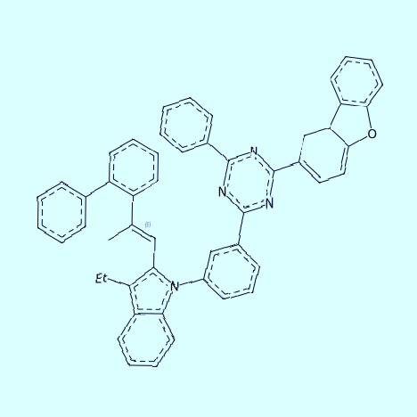 CCc1c(/C=C(\C)c2ccccc2-c2ccccc2)n(-c2cccc(-c3nc(C4=CC=C5Oc6ccccc6C5C4)nc(-c4ccccc4)n3)c2)c2ccccc12